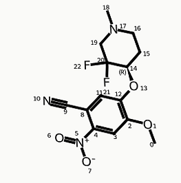 COc1cc([N+](=O)[O-])c(C#N)cc1O[C@@H]1CCN(C)CC1(F)F